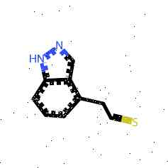 S=CCc1cccc2[nH]ncc12